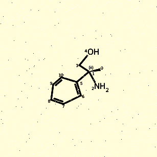 C[C@](N)(CO)c1ccccc1